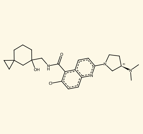 CN(C)[C@@H]1CCN(c2ccc3c(C(=O)NCC4(O)CCCC5(CC5)C4)c(Cl)ccc3n2)C1